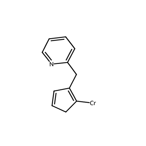 [Cr][C]1=C(Cc2ccccn2)C=CC1